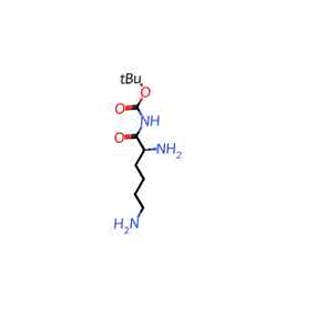 CC(C)(C)OC(=O)NC(=O)[C@@H](N)CCCCN